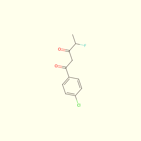 CC(F)C(=O)CC(=O)c1ccc(Cl)cc1